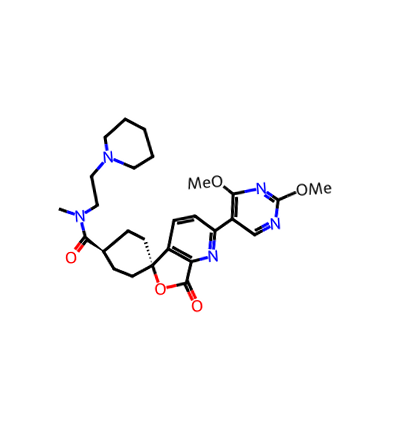 COc1ncc(-c2ccc3c(n2)C(=O)O[C@]32CC[C@H](C(=O)N(C)CCN3CCCCC3)CC2)c(OC)n1